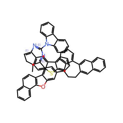 CC1C/C=C(c2ccc3sc4ccccc4c3c2)/N=C(n2c3ccccc3c3ccccc32)\N=C/1c1cc(C2CCc3cc4ccccc4cc3-c3ccccc32)cc2oc3c4ccccc4ccc3c12